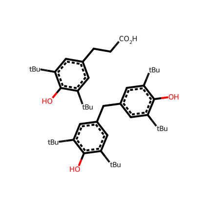 CC(C)(C)c1cc(CCC(=O)O)cc(C(C)(C)C)c1O.CC(C)(C)c1cc(Cc2cc(C(C)(C)C)c(O)c(C(C)(C)C)c2)cc(C(C)(C)C)c1O